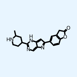 CC1CC(c2ncc3nc(-c4ccc5c(c4)CC(=O)O5)cc-3[nH]2)CCN1